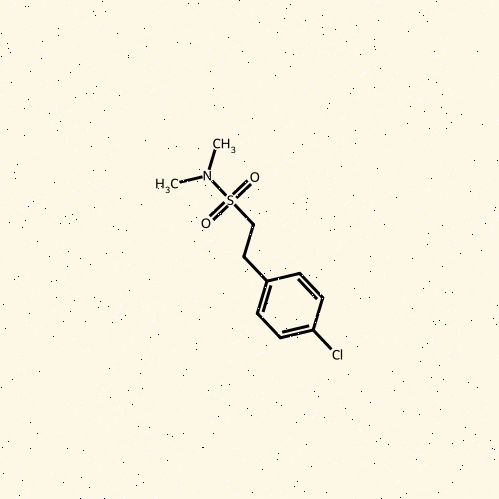 CN(C)S(=O)(=O)CCc1ccc(Cl)cc1